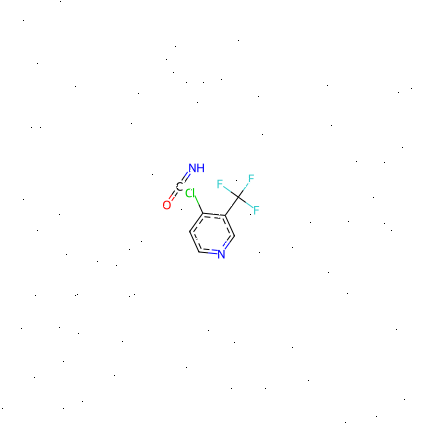 FC(F)(F)c1cnccc1Cl.N=C=O